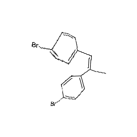 CC(=Cc1ccc(Br)cc1)c1ccc(Br)cc1